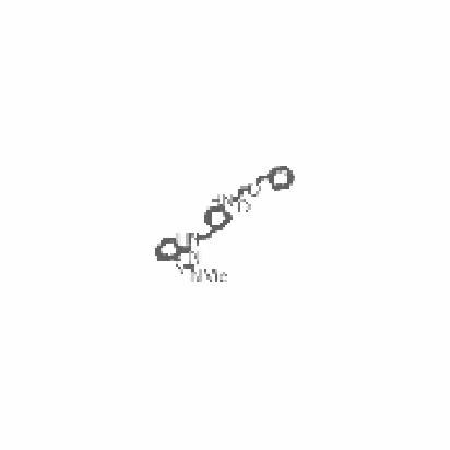 CNc1nc(NCc2ccc(NC(=O)COCc3ccccc3)cc2)c2ccccc2n1